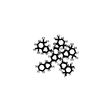 CC1(C)CCC(C)(C)c2cc(N3c4cc5c(cc4B4c6c3cc(-c3ccc7c(c3)CCCC7)cc6N(c3ccc6c(c3)C(C)(C)CCC6(C)C)c3sc6c(c34)C(C)(C)CCC6(C)C)C(C)(C)CCC5(C)C)ccc21